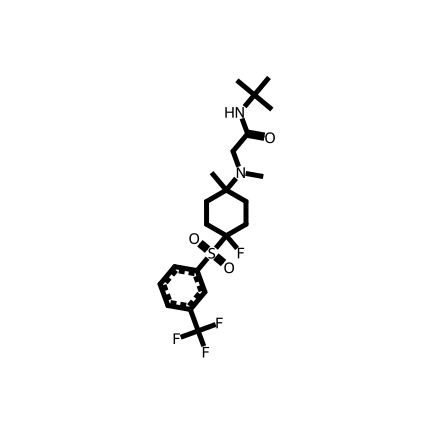 CN(CC(=O)NC(C)(C)C)C1(C)CCC(F)(S(=O)(=O)c2cccc(C(F)(F)F)c2)CC1